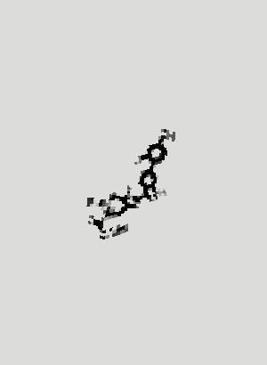 CCc1cc(O)ccc1-c1ccc2c(-c3nc4c([nH]3)CN(CC)[C@H](C(=O)OC)C4)n[nH]c2c1